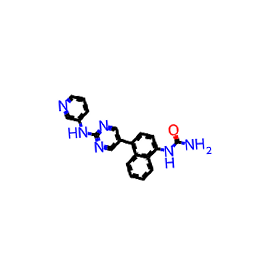 NC(=O)Nc1ccc(-c2cnc(Nc3cccnc3)nc2)c2ccccc12